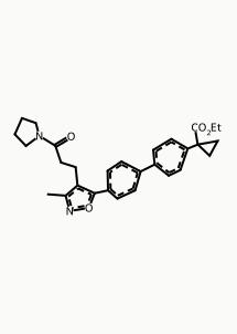 CCOC(=O)C1(c2ccc(-c3ccc(-c4onc(C)c4CCC(=O)N4CCCC4)cc3)cc2)CC1